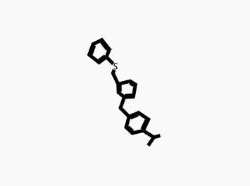 CC(C)c1ccc(Cc2cccc(CSc3[c]cccc3)c2)cc1